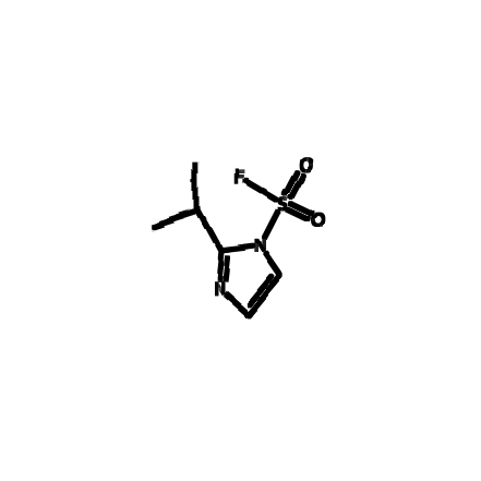 CC(C)c1nccn1S(=O)(=O)F